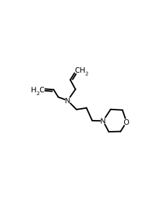 C=CCN(CC=C)CCCN1CCOCC1